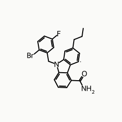 CCCc1c[c]c2c3c(C(N)=O)cccc3n(Cc3cc(F)ccc3Br)c2c1